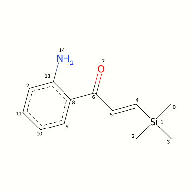 C[Si](C)(C)/C=C/C(=O)c1ccccc1N